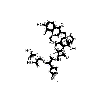 CCn1cc(C[N+]2(CC3=C(C(=O)O)N4C(=O)[C@@H](NC(=O)/C(=N\O[C@@H](CC(=O)O)C(=O)O)c5csc(N)n5)[C@H]4SC3)CCCC2)c(=O)c2ccc(O)c(O)c21